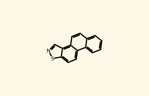 c1ccc2c(c1)ccc1c3cnsc3ccc21